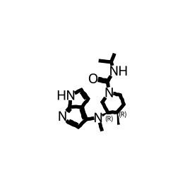 CC(C)NC(=O)N1CC[C@@H](C)[C@@H](N(C)c2ccnc3[nH]ccc23)C1